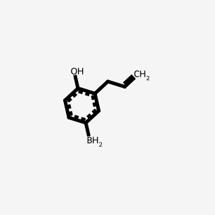 Bc1ccc(O)c(CC=C)c1